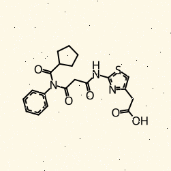 O=C(O)Cc1csc(NC(=O)CC(=O)N(C(=O)C2CCCC2)c2ccccc2)n1